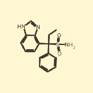 CCC(c1ccccc1)(c1cccc2[nH]cnc12)S(N)(=O)=O